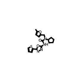 Cc1ccc(CN(C(=O)Nc2nnc(-c3cccs3)o2)C2CCCC2)o1